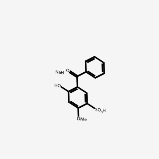 COc1cc(O)c(C(=O)c2ccccc2)cc1S(=O)(=O)O.[NaH]